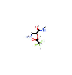 CNC(=O)C(CN)OC(=O)C(F)(F)F